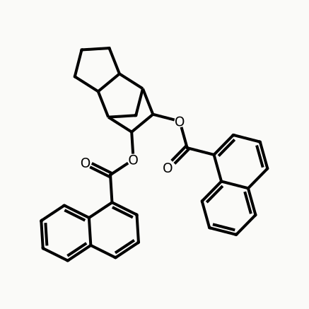 O=C(OC1C2CC(C3CCCC32)C1OC(=O)c1cccc2ccccc12)c1cccc2ccccc12